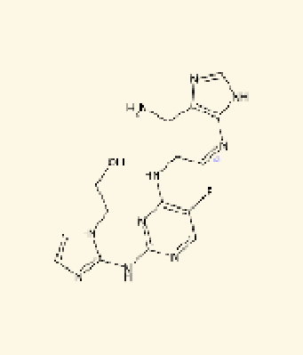 NCc1nc[nH]c1/N=C\CNc1nc(Nc2nccn2CCO)ncc1F